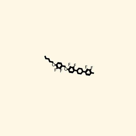 CCCCCOc1ccc(COc2ccc(C3CCC(c4ccc(C)c(F)c4F)CC3)c(F)c2F)c(F)c1F